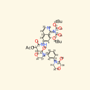 CC(=O)OC(C(=O)Nc1ccc2c(N(C(=O)OC(C)(C)C)C(=O)OC(C)(C)C)nccc2c1)C1OCCN(c2cccc(N3CCOCC3=O)c2)C1=O